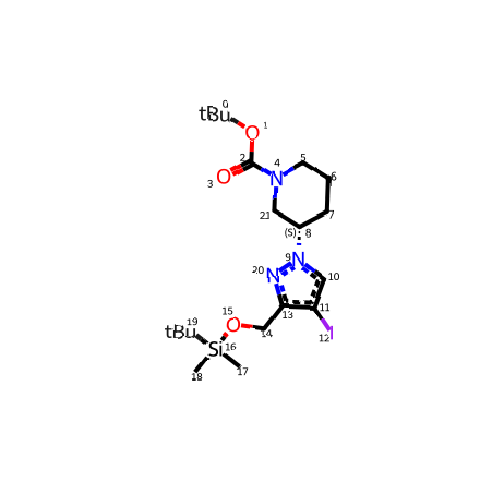 CC(C)(C)OC(=O)N1CCC[C@H](n2cc(I)c(CO[Si](C)(C)C(C)(C)C)n2)C1